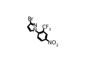 O=[N+]([O-])c1ccc(-n2ccc(Br)n2)c(C(F)(F)F)c1